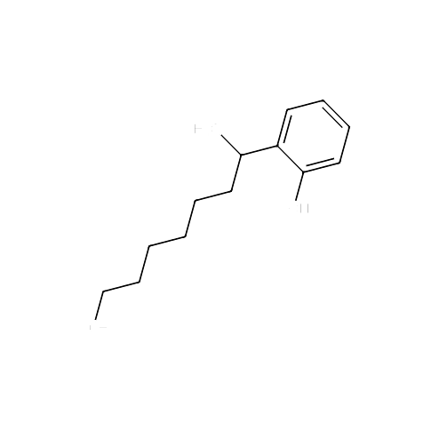 CCCCCCCC(C)c1ccccc1O